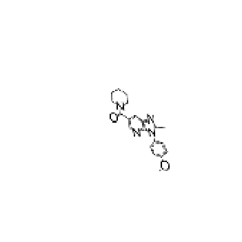 COc1ccc(-n2c(C)nc3cc(C(=O)N4CCCCC4)cnc32)cc1